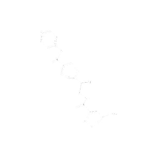 COc1cccc(C(=O)NCC(N)c2ccc(C(=O)Nc3ccncc3)cc2)c1